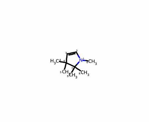 CN1C=CC(C)(C)C1(C)C